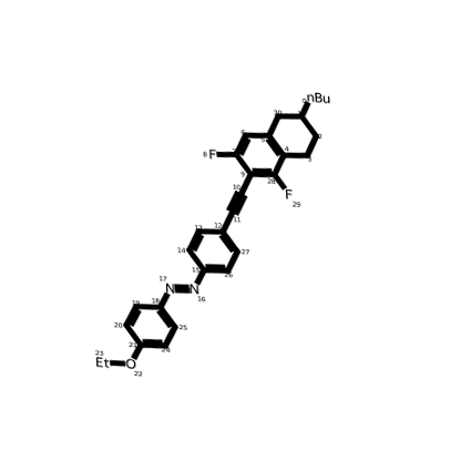 CCCCC1CCc2c(cc(F)c(C#Cc3ccc(N=Nc4ccc(OCC)cc4)cc3)c2F)C1